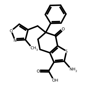 Cc1nocc1CC1(c2ccccc2)CCc2c(sc(N)c2C(=O)O)C1=O